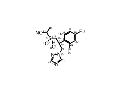 CC(C#N)[S+]([O-])[C@H](C)[C@](O)(Cn1cncn1)c1ccc(F)cc1F